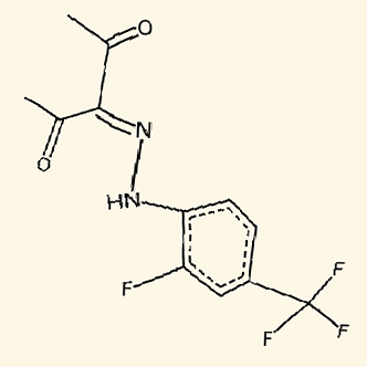 CC(=O)C(=NNc1ccc(C(F)(F)F)cc1F)C(C)=O